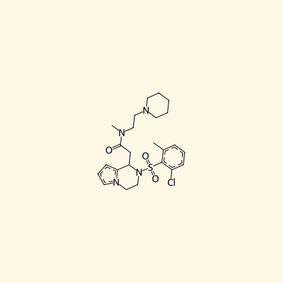 Cc1cccc(Cl)c1S(=O)(=O)N1CCn2cccc2C1CC(=O)N(C)CCN1CCCCC1